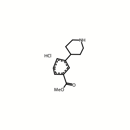 COC(=O)c1cccc(C2CCNCC2)c1.Cl